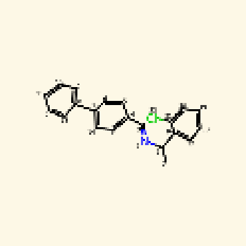 CC(N=Cc1ccc(-c2ccccc2)cc1)c1ccccc1Cl